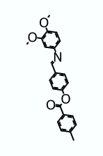 COc1ccc(/N=C/c2ccc(OC(=O)c3ccc(C)cc3)cc2)cc1OC